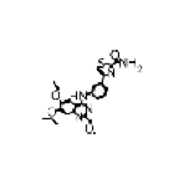 CCOc1cc2c(Nc3cccc(-c4csc(C(N)=O)n4)c3)nc(COC)nc2cc1OC(C)C